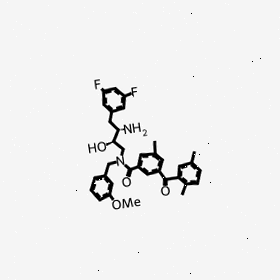 COc1cccc(CN(C[C@@H](O)[C@@H](N)Cc2cc(F)cc(F)c2)C(=O)c2cc(C)cc(C(=O)c3cc(C)ccc3C)c2)c1